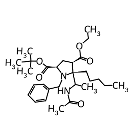 CCCCC[C@]1(C(C)NC(C)=O)[C@H](C(=O)OCC)C[C@H](C(=O)OC(C)(C)C)N1Cc1ccccc1